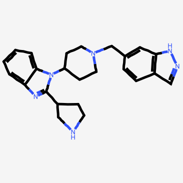 c1ccc2c(c1)nc(C1CCNC1)n2C1CCN(Cc2ccc3cn[nH]c3c2)CC1